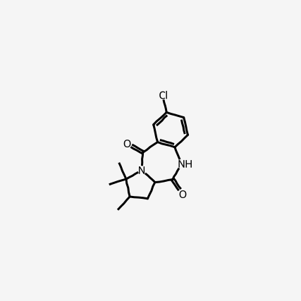 CC1CC2C(=O)Nc3ccc(Cl)cc3C(=O)N2C1(C)C